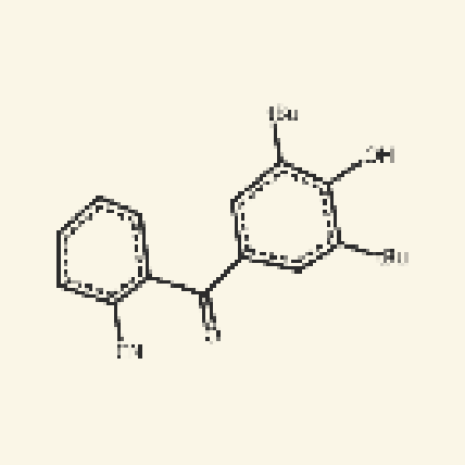 CC(C)(C)c1cc(C(=O)c2ccccc2C#N)cc(C(C)(C)C)c1O